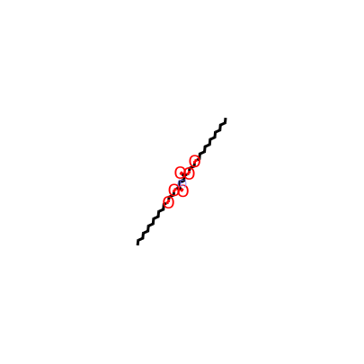 CCCCCCCCCCCCOCCOC(=O)/C=C/C(=O)OCCOCCCCCCCCCCCC